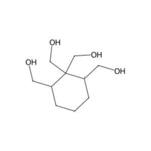 OC[C]1CCCC(CO)C1(CO)CO